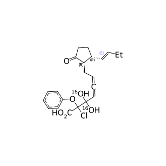 CC/C=C/[C@H]1CCC(=O)[C@@H]1CC=C=CC([16OH])([16OH])C(Cl)(Oc1ccccc1)C(=O)O